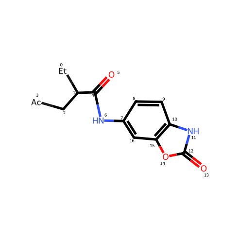 CCC(CC(C)=O)C(=O)Nc1ccc2[nH]c(=O)oc2c1